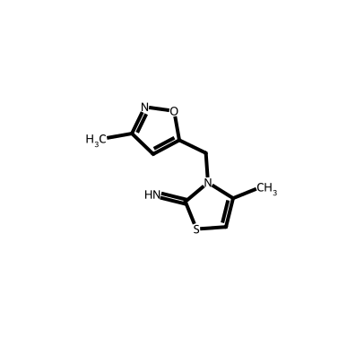 Cc1cc(Cn2c(C)csc2=N)on1